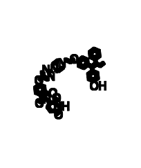 CC/C(=C(\c1ccc(O)cc1)c1ccc(OCCN2CCN(c3ncc(Oc4ccc5c(c4)C(=O)N(C4CCC(=O)NC4=O)C5=O)cn3)CC2)cc1)c1ccccc1